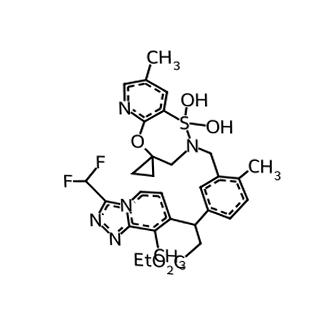 CCOC(=O)CC(c1ccc(C)c(CN2CC3(CC3)Oc3ncc(C)cc3S2(O)O)c1)c1ccn2c(C(F)F)nnc2c1C